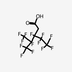 O=C(O)CC(F)(C(F)(F)C(F)(F)F)C(F)(C(F)(F)F)C(F)(F)F